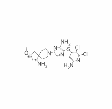 CO[C@H]1C[C@@H](N)C2(CCN(c3cnc(Sc4cc(N)nc(Cl)c4Cl)c(N)n3)CC2)C1